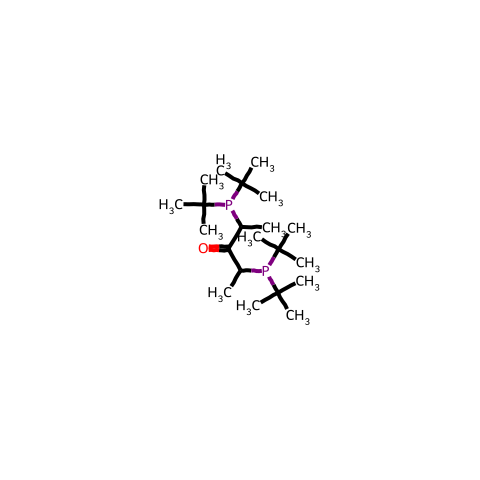 CC(C(=O)C(C)P(C(C)(C)C)C(C)(C)C)P(C(C)(C)C)C(C)(C)C